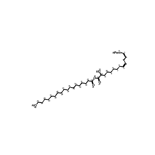 CCCCC/C=C\C/C=C\CCCCCCC(O)C(=O)OC(=O)CCCCCCCCCCCCCCCCCO